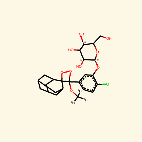 [2H]C([2H])([2H])OC1(c2ccc(Cl)c(O[C@@H]3OC(CO)[C@H](O)C(O)[C@@H]3O)c2)OOC12C1CC3CC(C1)CC2C3